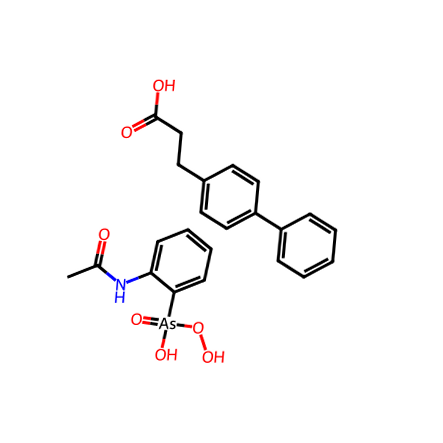 CC(=O)Nc1ccccc1[As](=O)(O)OO.O=C(O)CCc1ccc(-c2ccccc2)cc1